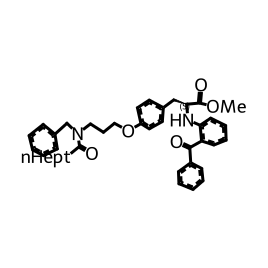 CCCCCCCC(=O)N(CCCOc1ccc(C[C@H](Nc2ccccc2C(=O)c2ccccc2)C(=O)OC)cc1)Cc1ccccc1